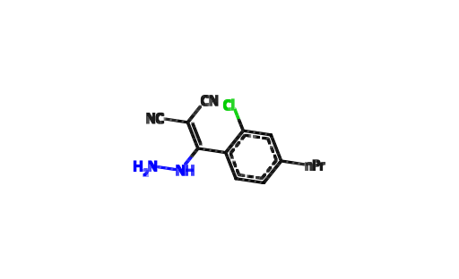 CCCc1ccc(C(NN)=C(C#N)C#N)c(Cl)c1